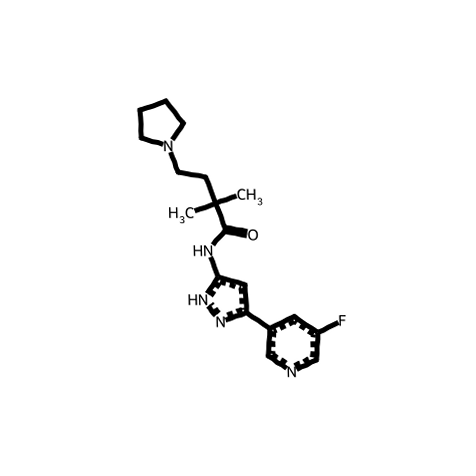 CC(C)(CCN1CCCC1)C(=O)Nc1cc(-c2cncc(F)c2)n[nH]1